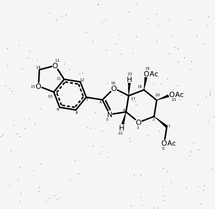 CC(=O)OC[C@H]1O[C@@H]2N=C(c3ccc4c(c3)OCO4)O[C@@H]2[C@@H](OC(C)=O)[C@H]1OC(C)=O